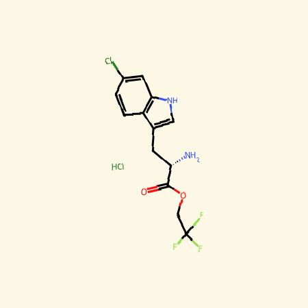 Cl.N[C@@H](Cc1c[nH]c2cc(Cl)ccc12)C(=O)OCC(F)(F)F